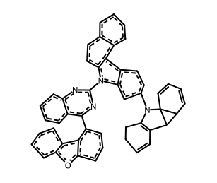 C1=CC2C3C4=C(CCC=C4)N(c4ccc5c6c7ccccc7ccc6n(-c6nc(-c7cccc8oc9ccccc9c78)c7ccccc7n6)c5c4)C23C=C1